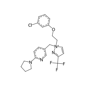 FC(F)(F)C1=N[N+](CCOc2cccc(Cl)c2)(Cc2ccc(N3CCCC3)nc2)C=C1